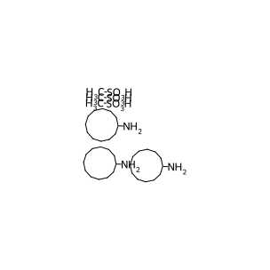 CS(=O)(=O)O.CS(=O)(=O)O.CS(=O)(=O)O.NC1CCCCCCCCCCC1.NC1CCCCCCCCCCC1.NC1CCCCCCCCCCC1